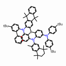 Cc1cc2c3c(c1)N(c1ccc(C(C)(C)C)cc1-c1ccccc1)c1cc4c(cc1B3c1ccc(N(c3ccc(C(C)(C)C)cc3)c3ccc(C(C)(C)C)cc3)cc1N2c1cc2c(cc1C)C(C)(C)CCC2(C)C)C(C)(C)c1ccccc1C4(C)C